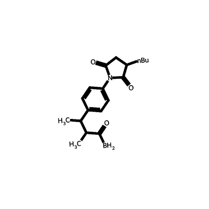 BC(=O)C(C)C(C)c1ccc(N2C(=O)CC(CCCC)C2=O)cc1